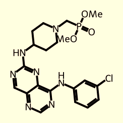 COP(=O)(CN1CCC(Nc2ncc3ncnc(Nc4cccc(Cl)c4)c3n2)CC1)OC